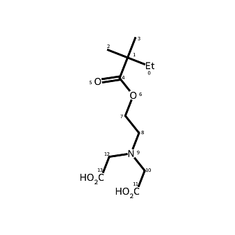 CCC(C)(C)C(=O)OCCN(CC(=O)O)CC(=O)O